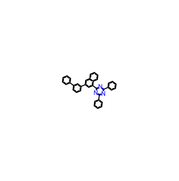 c1ccc(-c2cccc(-c3cc(-c4nc(-c5ccccc5)nc(-c5ccccc5)n4)c4ccccc4c3)c2)cc1